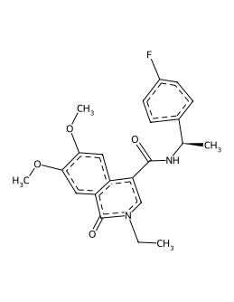 CCn1cc(C(=O)N[C@H](C)c2ccc(F)cc2)c2cc(OC)c(OC)cc2c1=O